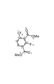 COC(=O)c1ccc(C(F)(F)F)c(C(=O)OC)c1F